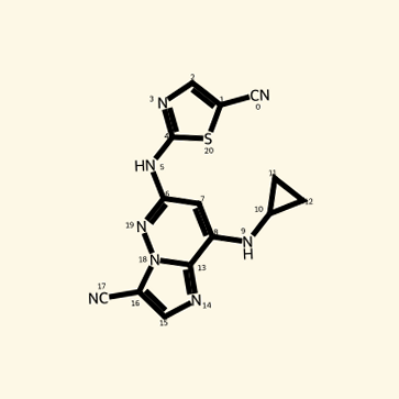 N#Cc1cnc(Nc2cc(NC3CC3)c3ncc(C#N)n3n2)s1